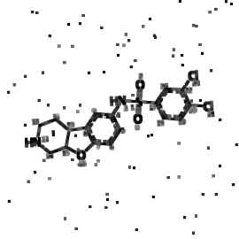 O=S(=O)(Nc1ccc2c(c1)C1CCNCC1O2)c1ccc(Cl)c(Cl)c1